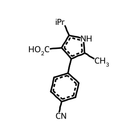 Cc1[nH]c(C(C)C)c(C(=O)O)c1-c1ccc(C#N)cc1